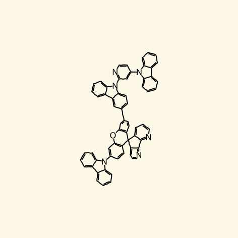 c1cnc2c(c1)C1(c3ccc(-c4ccc5c(c4)c4ccccc4n5-c4cc(-n5c6ccccc6c6ccccc65)ccn4)cc3Oc3cc(-n4c5ccccc5c5ccccc54)ccc31)c1cccnc1-2